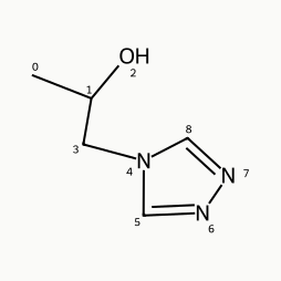 CC(O)Cn1cnnc1